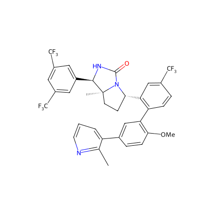 COc1ccc(-c2cccnc2C)cc1-c1ccc(C(F)(F)F)cc1[C@@H]1CC[C@@]2(C)[C@@H](c3cc(C(F)(F)F)cc(C(F)(F)F)c3)NC(=O)N12